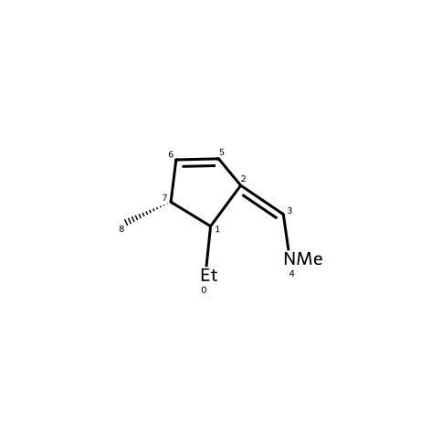 CCC1/C(=C\NC)C=C[C@H]1C